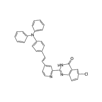 O=c1[nH]c(-c2cc(C=Cc3ccc(N(c4ccccc4)c4ccccc4)cc3)ccn2)nc2ccc(Cl)cc12